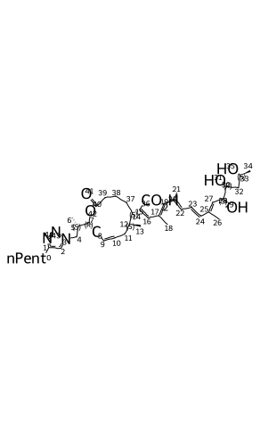 CCCCCc1cn(C[C@H](C)[C@H]2CC=CC[C@H](C)[C@@H](C(=CC(C)=CC(C)=CC=CC(C)=C[C@H](O)[C@H](O)C[C@H](C)O)C(=O)O)CCCC(=O)O2)nn1